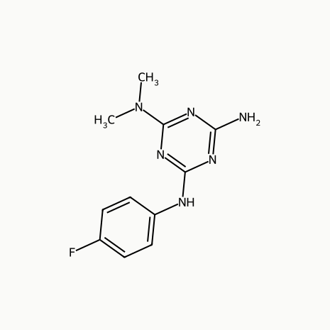 CN(C)c1nc(N)nc(Nc2ccc(F)cc2)n1